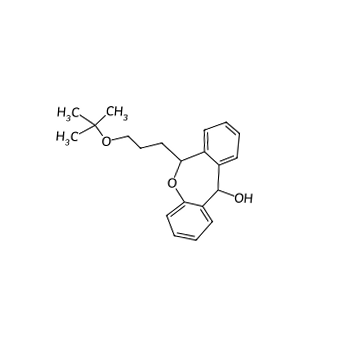 CC(C)(C)OCCCC1Oc2ccccc2C(O)c2ccccc21